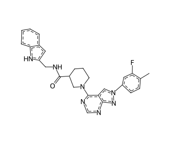 Cc1ccc(-n2cc3c(N4CCCC(C(=O)NCc5cc6ccccc6[nH]5)C4)ncnc3n2)cc1F